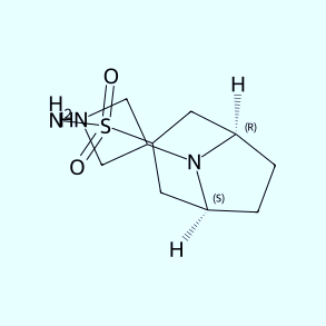 NS(=O)(=O)C1C[C@H]2CC[C@@H](C1)N2C1CNC1